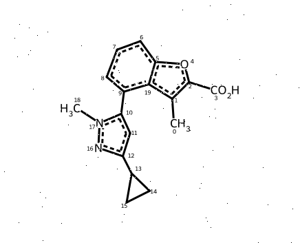 Cc1c(C(=O)O)oc2cccc(-c3cc(C4CC4)nn3C)c12